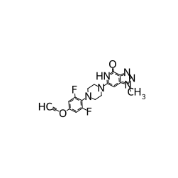 C#COc1cc(F)c(N2CCN(c3cc4c(nnn4C)c(=O)[nH]3)CC2)c(F)c1